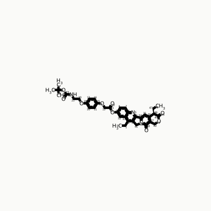 CCc1c2c(nc3ccc(OC(=O)COc4ccc(OCCNC(=O)OC(C)(C)C)cc4)cc13)-c1cc3c(c(=O)n1C2)COC(=O)[C@@H]3CC